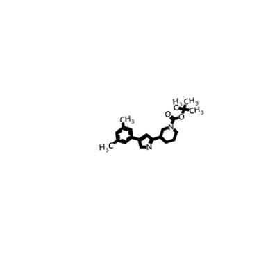 Cc1cc(C)cc(C2=CC(C3CCCN(C(=O)OC(C)(C)C)C3)=NC2)c1